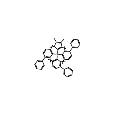 CC1=C(C)C(C)C([Si](c2c(C)ccc(-c3ccccc3)c2C)(c2c(C)ccc(-c3ccccc3)c2C)c2c(C)ccc(-c3ccccc3)c2C)=C1C